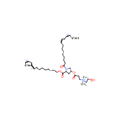 CCCCC/C=C\C/C=C\CCCCCCCCOC(=O)C1CC(OC(=O)CC[N+](C)(C)CCO)CN1C(=O)CCCCCCC/C=C\C/C=C\CCCCC